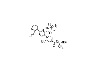 CCOc1ncccc1-c1ccc(N2CCN(C(=O)OC(C(C)(C)C)C(F)(F)F)C[C@H]2CC)c(C(=O)N[C@@H]2CN3CCC2CC3)n1